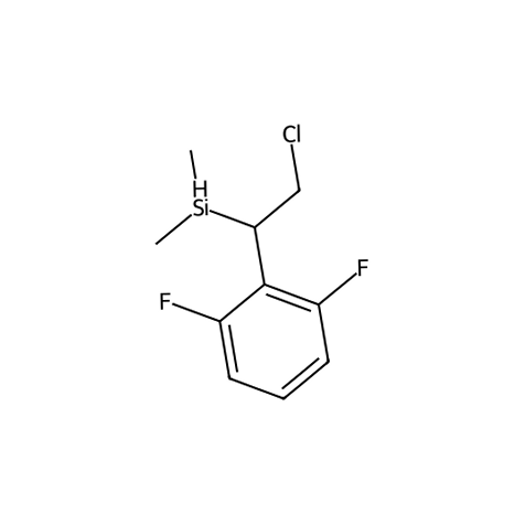 C[SiH](C)C(CCl)c1c(F)cccc1F